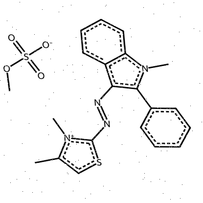 COS(=O)(=O)[O-].Cc1csc(N=Nc2c(-c3ccccc3)n(C)c3ccccc23)[n+]1C